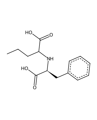 CCCC(N[C@@H](Cc1ccccc1)C(=O)O)C(=O)O